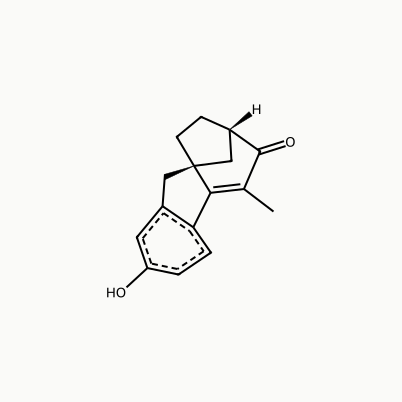 CC1=C2c3ccc(O)cc3C[C@]23CC[C@@H](C3)C1=O